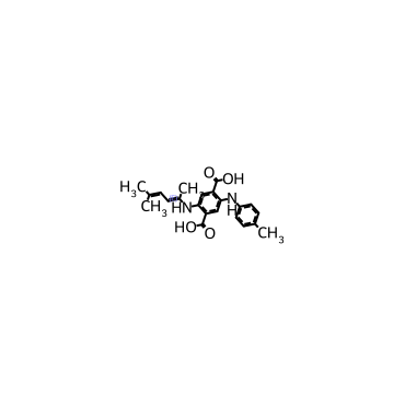 CC(C)=C/C=C(\C)Nc1cc(C(=O)O)c(Nc2ccc(C)cc2)cc1C(=O)O